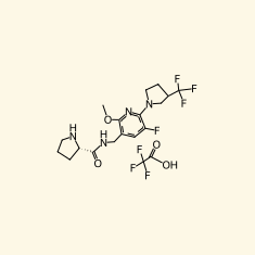 COc1nc(N2CCC(C(F)(F)F)C2)c(F)cc1CNC(=O)[C@@H]1CCCN1.O=C(O)C(F)(F)F